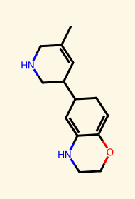 CC1=CC(C2C=C3NCCOC3=CC2)CNC1